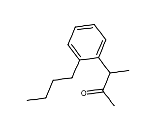 CCCCc1ccccc1C(C)C(C)=O